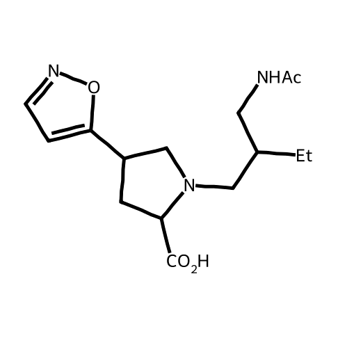 CCC(CNC(C)=O)CN1CC(c2ccno2)CC1C(=O)O